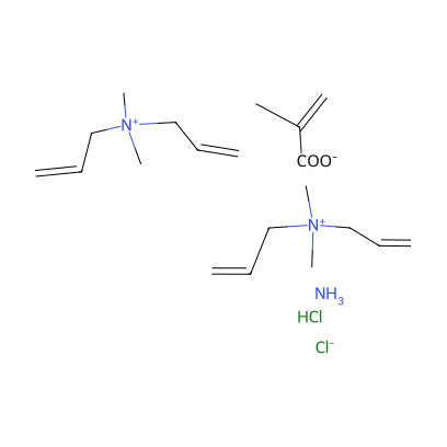 C=C(C)C(=O)[O-].C=CC[N+](C)(C)CC=C.C=CC[N+](C)(C)CC=C.Cl.N.[Cl-]